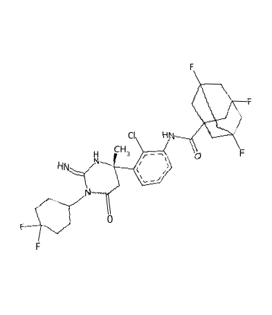 C[C@@]1(c2cccc(NC(=O)C34CC5(F)CC(F)(CC(F)(C5)C3)C4)c2Cl)CC(=O)N(C2CCC(F)(F)CC2)C(=N)N1